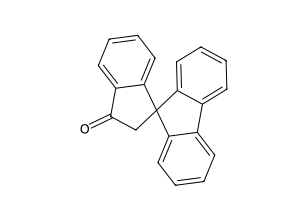 O=C1CC2(c3ccccc31)c1ccccc1-c1ccccc12